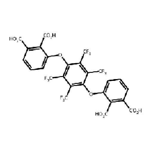 O=C(O)c1cccc(Oc2c(C(F)(F)F)c(C(F)(F)F)c(Oc3cccc(C(=O)O)c3C(=O)O)c(C(F)(F)F)c2C(F)(F)F)c1C(=O)O